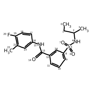 CCC(C)NS(=O)(=O)c1cccc(C(=O)Nc2ccc(F)c(C)c2)c1